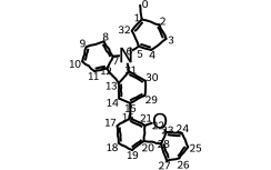 Cc1cccc(-n2c3ccccc3c3cc(-c4cccc5c4oc4ccccc45)ccc32)c1